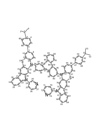 CC(C)c1ccc(-c2ccc3c(c2)Sc2cc4c5ccccc5n(-c5cccnc5)c4cc2N3c2ccc3c4ccc(N5c6ccc(-c7ccc(C(C)C)cc7)cc6Sc6cc7c8ccccc8n(-c8cccnc8)c7cc65)cc4c4ccccc4c3c2)cc1